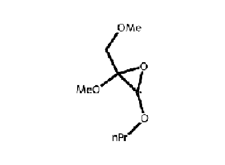 CCCO[C]1OC1(COC)OC